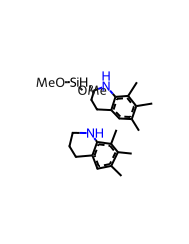 CO[SiH2]OC.Cc1cc2c(c(C)c1C)NCCC2.Cc1cc2c(c(C)c1C)NCCC2